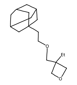 CCC1(COCCC23CC4CC(CC(C4)C2)C3)COC1